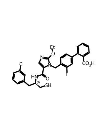 CCOc1ncc(C(=O)N[C@@H](CS)Cc2cccc(Cl)c2)n1Cc1ccc(-c2ccccc2C(=O)O)cc1F